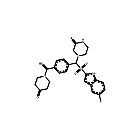 N=C(c1ccc(C(N2CCNC(=O)C2)S(=O)(=O)c2cc3cc(Cl)ccc3[nH]2)cc1)N1CCC(=O)CC1